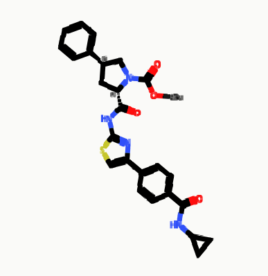 CC(C)(C)OC(=O)N1C[C@H](c2ccccc2)C[C@H]1C(=O)Nc1nc(-c2ccc(C(=O)NC3CC3)cc2)cs1